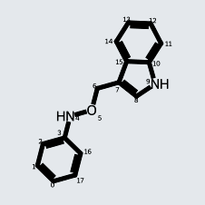 c1ccc(NOCc2c[nH]c3ccccc23)cc1